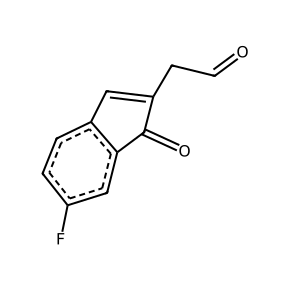 O=CCC1=Cc2ccc(F)cc2C1=O